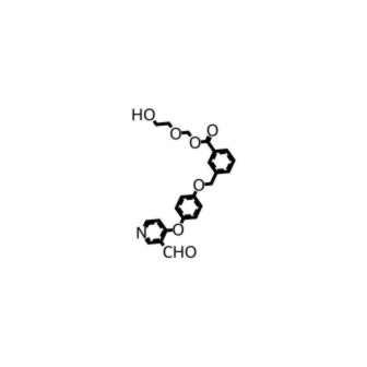 O=Cc1cnccc1Oc1ccc(OCc2cccc(C(=O)OCOCCO)c2)cc1